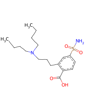 CCCCN(CCCC)CCCc1cc(S(N)(=O)=O)ccc1C(=O)O